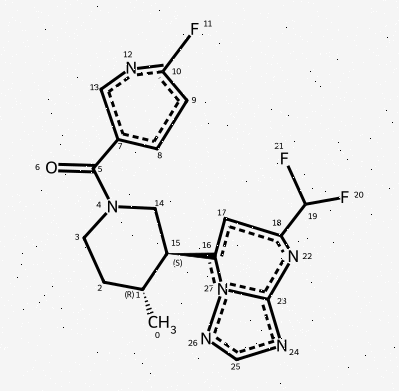 C[C@@H]1CCN(C(=O)c2ccc(F)nc2)C[C@H]1c1cc(C(F)F)nc2ncnn12